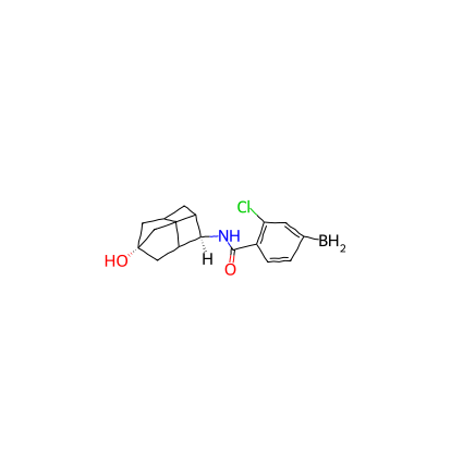 Bc1ccc(C(=O)N[C@H]2C3CC4CC2C[C@](O)(C4)C3)c(Cl)c1